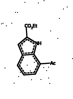 CCOC(=O)c1cc2cccc(C(C)=O)c2[nH]1